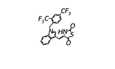 O=C1NC(=Cc2cn(Cc3ccc(C(F)(F)F)cc3C(F)(F)F)c3ccccc23)C(=O)S1